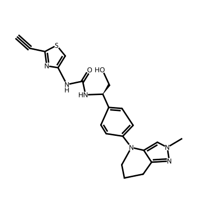 C#Cc1nc(NC(=O)N[C@@H](CO)c2ccc(N3CCCc4nn(C)cc43)cc2)cs1